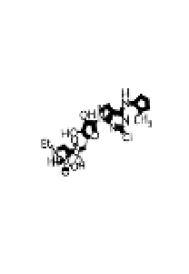 CCNCC(P(=O)(O)O)S(=O)(=O)C[C@H]1O[C@@H](n2ncc3c(NC4CCCC4C)nc(Cl)nc32)[C@H](O)[C@@H]1O